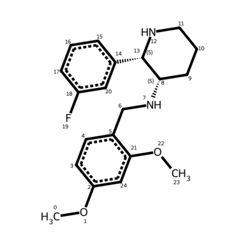 COc1ccc(CN[C@H]2CCCN[C@H]2c2cccc(F)c2)c(OC)c1